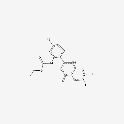 CCOC(=O)Nc1cc(O)ccc1-c1cc(=O)c2cc(F)c(F)cc2[nH]1